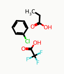 CCC(=O)O.Clc1ccccc1.O=C(O)C(F)(F)F